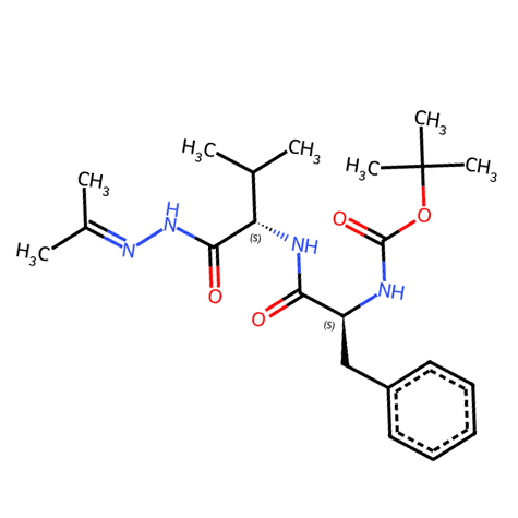 CC(C)=NNC(=O)[C@@H](NC(=O)[C@H](Cc1ccccc1)NC(=O)OC(C)(C)C)C(C)C